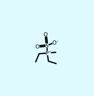 CC[P+](C)(CC)S(=O)(=O)[O-]